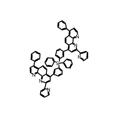 c1ccc(-c2ccnc3c2ccc2c(-c4cccc([Si](c5ccccc5)(c5ccccc5)c5cccc(-c6cc(-c7ccccn7)nc7c6ccc6c(-c8ccccc8)ccnc67)c5)c4)cc(-c4ccccn4)nc23)cc1